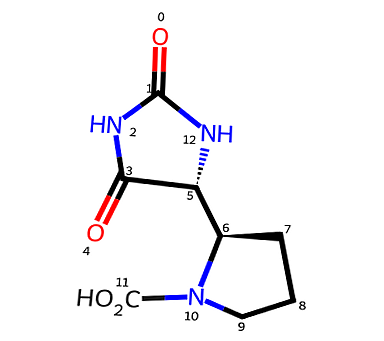 O=C1NC(=O)[C@@H]([C@H]2CCCN2C(=O)O)N1